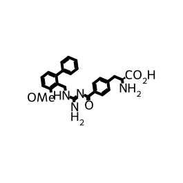 COc1cccc(-c2ccccc2)c1CNC(N)=NC(=O)c1ccc(C[C@H](N)C(=O)O)cc1